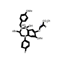 CCCCC1CN(c2ccc(F)cc2)c2cc(SC)c(O/C=C(\F)C(=O)OCC)cc2S(O)(O)N1Cc1ccc(OC)cc1